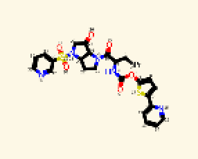 CC(C)CC(NC(=O)Oc1ccc(-c2ccccn2)s1)C(=O)N1CCC2C1C(=O)CN2S(=O)(=O)c1cccnc1